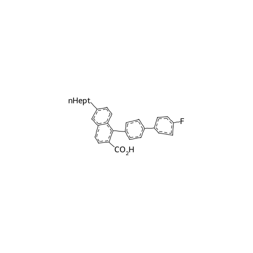 CCCCCCCc1ccc2c(-c3ccc(-c4ccc(F)cc4)cc3)c(C(=O)O)ccc2c1